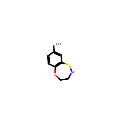 CCOC(=O)c1ccc2c(c1)SNCCO2